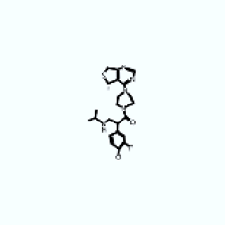 CC(C)NCC(C(=O)N1CCN(c2ncnc3c2[C@H](C)SC3)CC1)c1ccc(Cl)c(F)c1